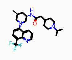 CC(C)N1CCC(CC(=O)N[C@@H]2C[C@H](C)CN(c3ccc(C(F)(F)F)c4ncccc34)C2)CC1